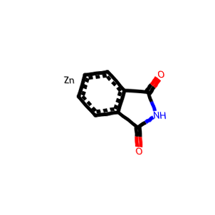 O=C1NC(=O)c2ccccc21.[Zn]